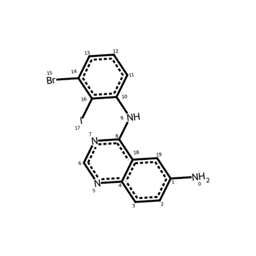 Nc1ccc2ncnc(Nc3cccc(Br)c3I)c2c1